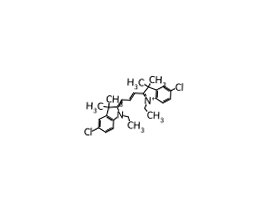 CCN1C(=CC=CC2=[N+](CC)c3ccc(Cl)cc3C2(C)C)C(C)(C)c2cc(Cl)ccc21